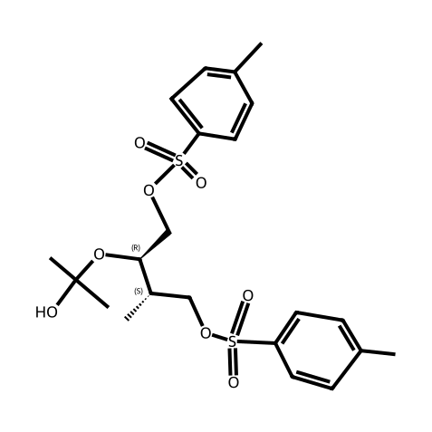 Cc1ccc(S(=O)(=O)OC[C@H](OC(C)(C)O)[C@@H](C)COS(=O)(=O)c2ccc(C)cc2)cc1